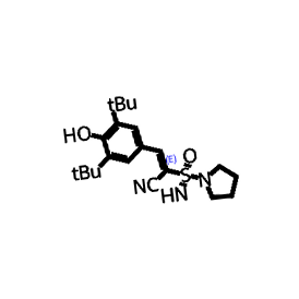 CC(C)(C)c1cc(/C=C(\C#N)S(=N)(=O)N2CCCC2)cc(C(C)(C)C)c1O